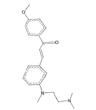 COc1ccc(C(=O)C=Cc2cccc(N(C)CCN(C)C)c2)cc1